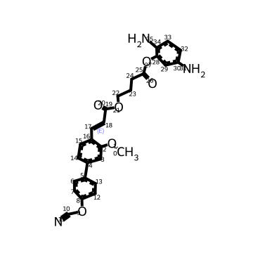 COc1cc(-c2ccc(OC#N)cc2)ccc1/C=C/C(=O)OCCCC(=O)Oc1cc(N)ccc1N